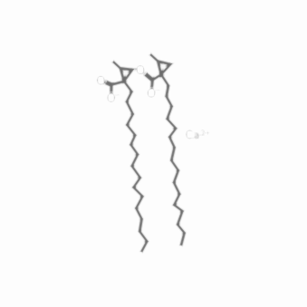 CCCCCCCCCCCCCCCCC1(C(=O)[O-])CC1C.CCCCCCCCCCCCCCCCC1(C(=O)[O-])CC1C.[Ca+2]